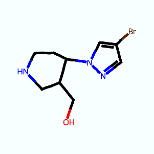 OCC1CNCCC1n1cc(Br)cn1